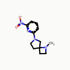 CN1CCC12CCN(c1cccc([N+](=O)[O-])n1)C2